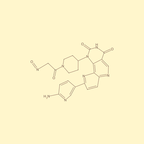 Nc1ccc(-c2ccc3ncc4c(=O)[nH]c(=O)n(C5CCN(C(=O)CN=O)CC5)c4c3n2)cn1